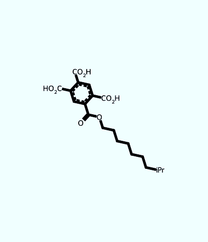 CC(C)CCCCCCCOC(=O)c1cc(C(=O)O)c(C(=O)O)cc1C(=O)O